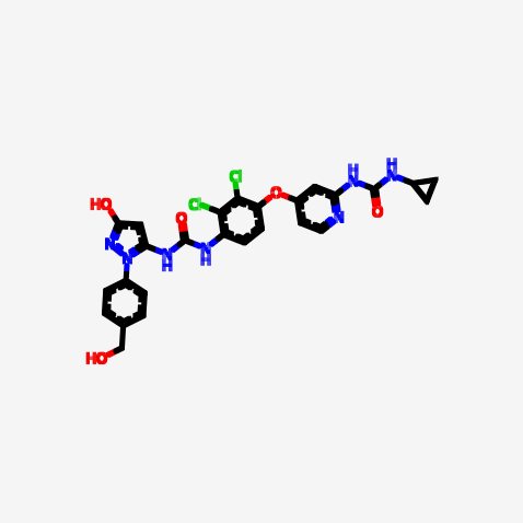 O=C(Nc1ccc(Oc2ccnc(NC(=O)NC3CC3)c2)c(Cl)c1Cl)Nc1cc(O)nn1-c1ccc(CO)cc1